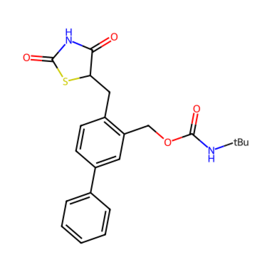 CC(C)(C)NC(=O)OCc1cc(-c2ccccc2)ccc1CC1SC(=O)NC1=O